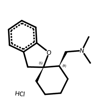 CN(C)C[C@H]1CCCC[C@]12Cc1ccccc1O2.Cl